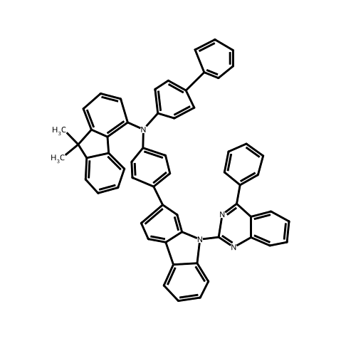 CC1(C)c2ccccc2-c2c(N(c3ccc(-c4ccccc4)cc3)c3ccc(-c4ccc5c6ccccc6n(-c6nc(-c7ccccc7)c7ccccc7n6)c5c4)cc3)cccc21